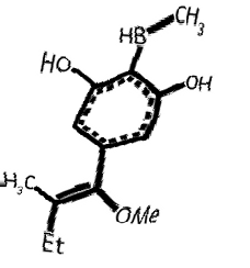 CBc1c(O)cc(/C(OC)=C(\C)CC)cc1O